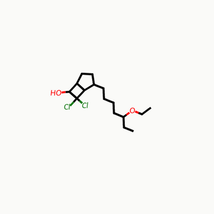 CCOC(CC)CCCCC1CCC2C(O)C(Cl)(Cl)C12